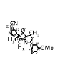 COc1cncc(-c2cc(C)c3c(n2)C(C)(C)N(c2cnn(CC#N)c2)C3=O)c1